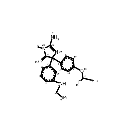 CC(C)CNc1cccc(C2(c3ccc(OC(F)F)cc3)N=C(N)N(C)C2=O)c1